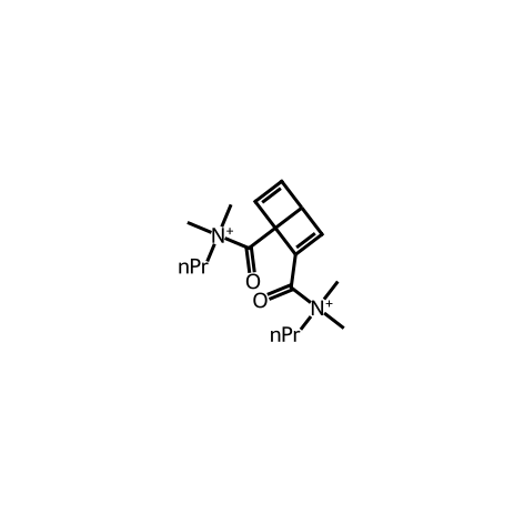 CCC[N+](C)(C)C(=O)C1=CC2C=CC12C(=O)[N+](C)(C)CCC